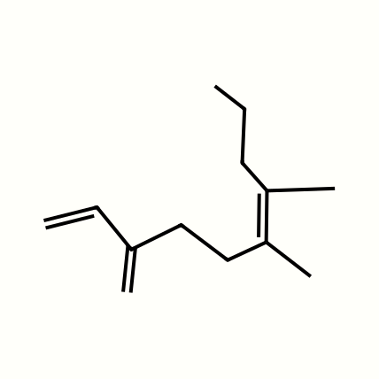 C=CC(=C)CCC(C)=C(C)CCC